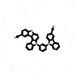 N#Cc1ccc2sc3ccc4c(c5ccccc5n4-c4cccc(-n5c6ccccc6c6cc(C#N)ccc65)c4)c3c2c1